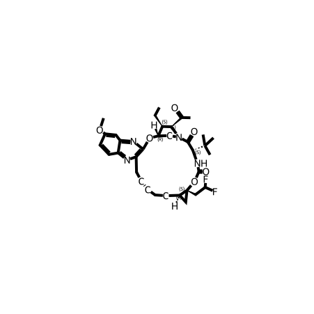 CC[C@@H]1[C@@H]2CN(C(=O)[C@H](C(C)(C)C)NC(=O)O[C@]3(CC(F)F)C[C@H]3CCCCCc3nc4ccc(OC)cc4nc3O2)[C@@H]1C(C)=O